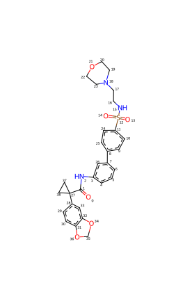 O=C(Nc1cccc(-c2ccc(S(=O)(=O)NCCN3CCOCC3)cc2)c1)C1(c2ccc3c(c2)OCO3)CC1